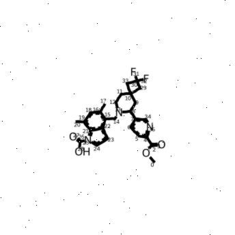 COC(=O)c1ccc(C2CC3(CCN2Cc2c(C)cc(C)c4c2ccn4C(=O)O)CC(F)(F)C3)cn1